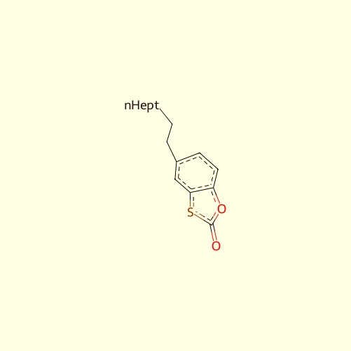 CCCCCCCCCc1ccc2oc(=O)sc2c1